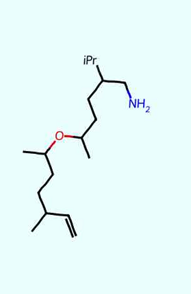 C=CC(C)CCC(C)OC(C)CCC(CN)C(C)C